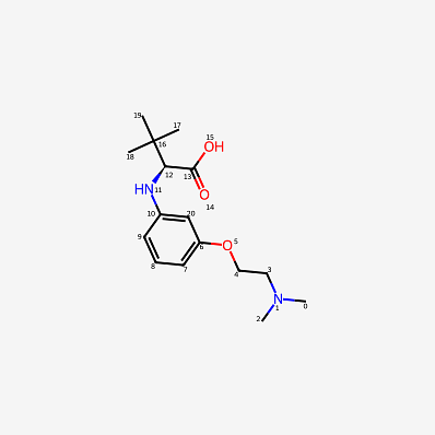 CN(C)CCOc1cccc(N[C@H](C(=O)O)C(C)(C)C)c1